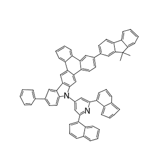 CC1(C)c2ccccc2-c2ccc(-c3ccc4c(c3)c3ccccc3c3cc5c6cc(-c7ccccc7)ccc6n(-c6cc(-c7cccc8ccccc78)nc(-c7cccc8ccccc78)c6)c5cc43)cc21